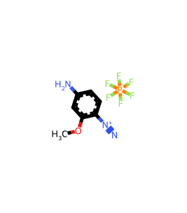 COc1cc(N)ccc1[N+]#N.F[P-](F)(F)(F)(F)F